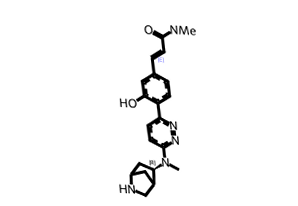 CNC(=O)/C=C/c1ccc(-c2ccc(N(C)[C@@H]3CC4CC3CN4)nn2)c(O)c1